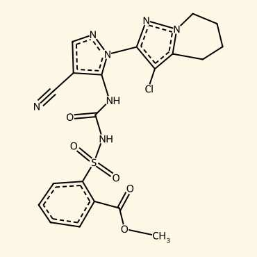 COC(=O)c1ccccc1S(=O)(=O)NC(=O)Nc1c(C#N)cnn1-c1nn2c(c1Cl)CCCC2